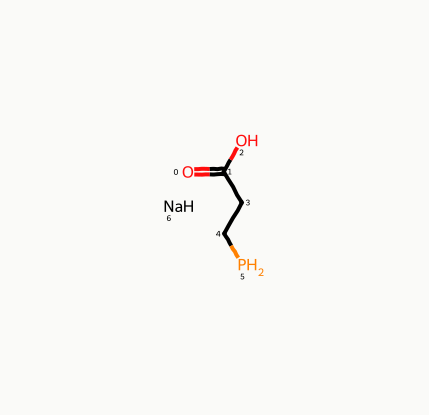 O=C(O)CCP.[NaH]